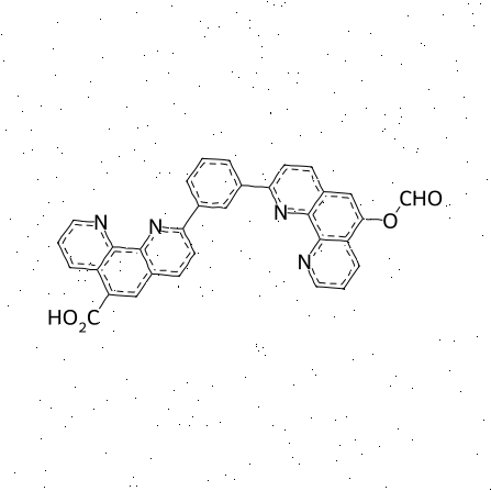 O=COc1cc2ccc(-c3cccc(-c4ccc5cc(C(=O)O)c6cccnc6c5n4)c3)nc2c2ncccc12